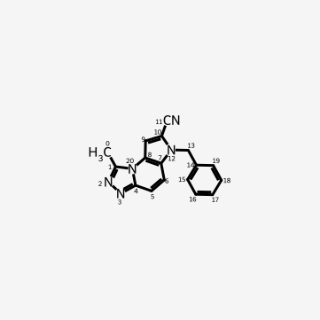 Cc1nnc2ccc3c(cc(C#N)n3Cc3ccccc3)n12